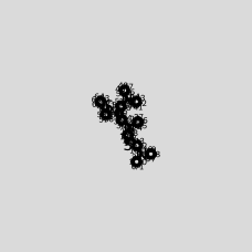 c1ccc(N(c2ccccc2)c2ccc3c(c2)sc2ccc(N(c4ccccc4)c4ccc5c(c4)c4cc(N(c6ccccc6)c6ccccc6)ccc4n5-c4cccc5c4sc4ccccc45)cc23)cc1